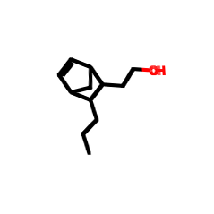 CCCC1C2C=CC(C2)C1CCO